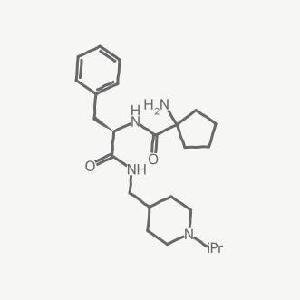 CC(C)N1CCC(CNC(=O)[C@@H](Cc2ccccc2)NC(=O)C2(N)CCCC2)CC1